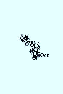 CCCCCCCC[C@@H]1[C@H]2Cc3cccc(OCC(=O)O[C@@H]4CC5CC[C@@H]4C5)c3C[C@H]2C[C@H]1O